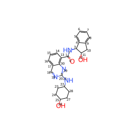 O=C(N[C@H]1c2ccccc2C[C@H]1O)c1cccc2cnc(NC3CCC(O)CC3)nc12